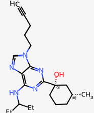 C#CCCCn1cnc2c(NC(CC)CC)nc([C@]3(O)CCC[C@@H](C)C3)nc21